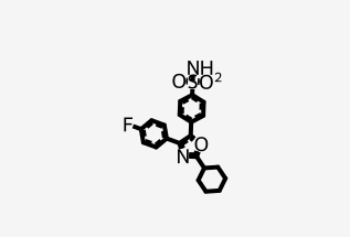 NS(=O)(=O)c1ccc(-c2oc(C3CCCCC3)nc2-c2ccc(F)cc2)cc1